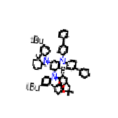 CC1(C)Cc2cc3c(cc2C1)N(c1ccc(C(C)(C)C)cc1-c1ccccc1)c1cc(N2c4ccc(C(C)(C)C)cc4C4(C)CCCCC24C)cc2c1B3c1cc(-c3ccccc3)ccc1N2c1ccc(-c2ccccc2)cc1